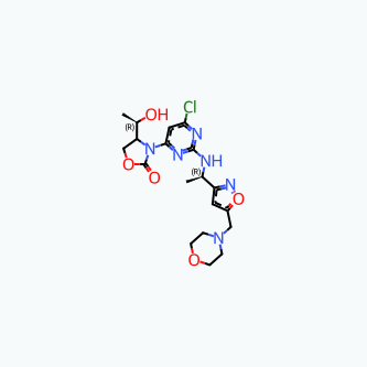 C[C@@H](Nc1nc(Cl)cc(N2C(=O)OCC2[C@@H](C)O)n1)c1cc(CN2CCOCC2)on1